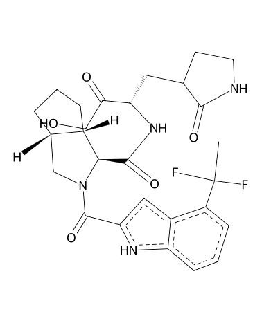 CC(F)(F)c1cccc2[nH]c(C(=O)N3C[C@@H]4CCC[C@@H]4[C@H]3C(=O)N[C@@H](CC3CCNC3=O)C(=O)CO)cc12